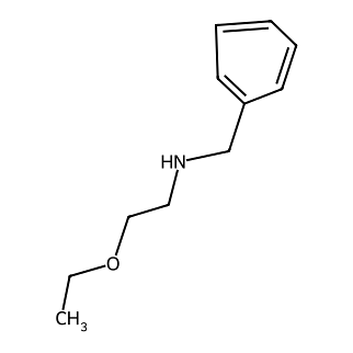 CCOCCNCc1ccccc1